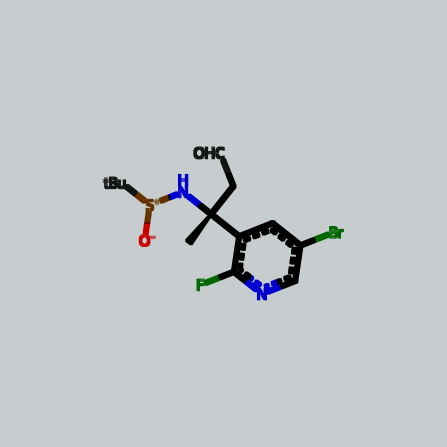 CC(C)(C)[S+]([O-])N[C@](C)(CC=O)c1cc(Br)cnc1F